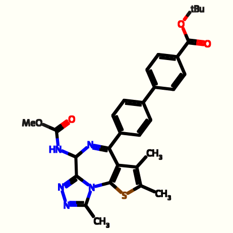 COC(=O)NC1N=C(c2ccc(-c3ccc(C(=O)OC(C)(C)C)cc3)cc2)c2c(sc(C)c2C)-n2c(C)nnc21